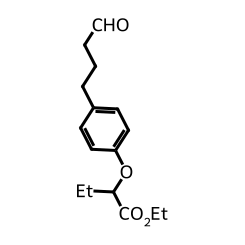 CCOC(=O)C(CC)Oc1ccc(CCCC=O)cc1